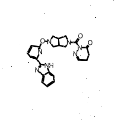 O=C1CCC=NN1C(=O)N1CC2CN(Oc3cccc(-c4nc5ccccc5[nH]4)n3)CC2C1